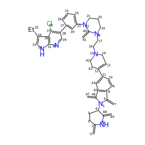 C=C1CCC(n2c(=C)c3ccc(C4=CCN(CCN5CCCN(c6cccc(-c7cnc8[nH]cc(CC)c8c7Cl)c6)C5=C)CC4)cc3c2=C)C(=C)N1